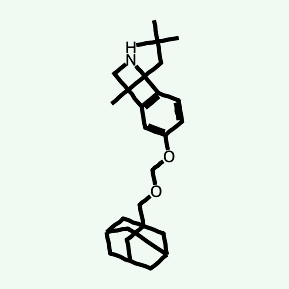 CC(C)(C)CC12NCC1(C)c1cc(OCOCC34CC5CC(CC(C5)C3)C4)ccc12